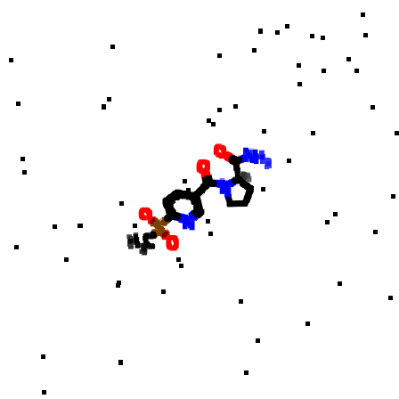 CS(=O)(=O)c1ccc(C(=O)N2CCC[C@@H]2C(N)=O)cn1